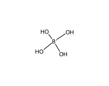 O[B-](O)(O)O